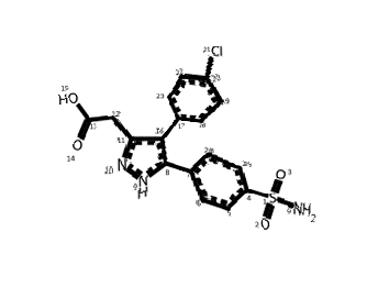 NS(=O)(=O)c1ccc(-c2[nH]nc(CC(=O)O)c2-c2ccc(Cl)cc2)cc1